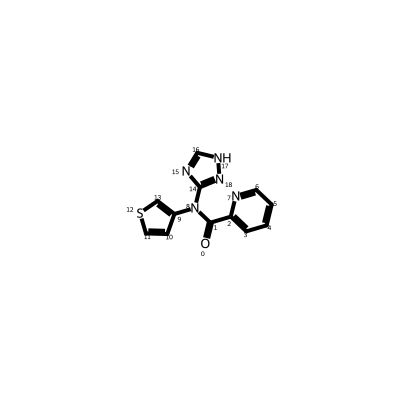 O=C(c1ccccn1)N(c1ccsc1)c1nc[nH]n1